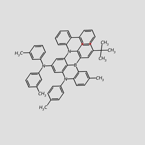 Cc1ccc(N2c3ccc(C)cc3B3c4cc(C(C)(C)C)ccc4N(c4ccccc4-c4ccccc4)c4cc(N(c5cccc(C)c5)c5cccc(C)c5)cc2c43)cc1